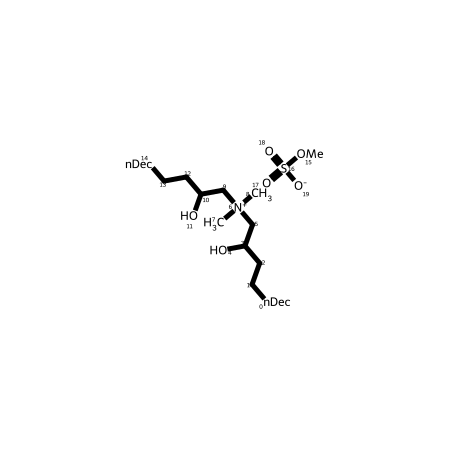 CCCCCCCCCCCCC(O)C[N+](C)(C)CC(O)CCCCCCCCCCCC.COS(=O)(=O)[O-]